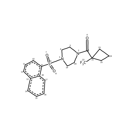 O=C(N1CCN(S(=O)(=O)c2cccc3ccccc23)CC1)C1(C(F)(F)F)CCC1